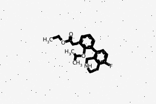 CCOC(=O)Cc1cccc(-c2ccc(F)c3c2CNCC3)c1OC(C)C